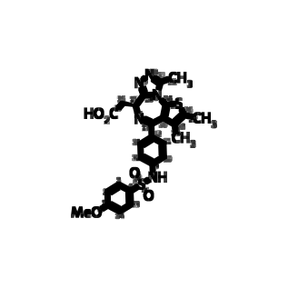 COc1ccc(S(=O)(=O)Nc2ccc(C3=N[C@@H](CC(=O)O)c4nnc(C)n4-c4sc(C)c(C)c43)cc2)cc1